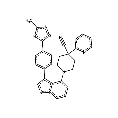 Cc1noc(-c2ccc(-c3cnn4cccc(N5CCC(C#N)(c6ccccn6)CC5)c34)cc2)n1